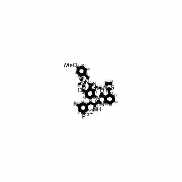 COc1ccc(CN(c2nn(C)c3c(-n4c(C(Cc5cc(F)cc(F)c5)NC(=O)O)nc5cccc(-c6nccs6)c5c4=O)ccc(Cl)c23)S(C)(=O)=O)cc1